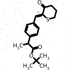 CC(C(=O)OC(C)(C)C)c1ccc(/C=C2\SCCCC2=O)cc1